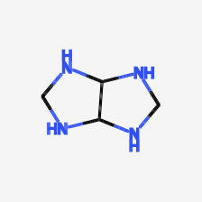 C1NC2NCNC2N1